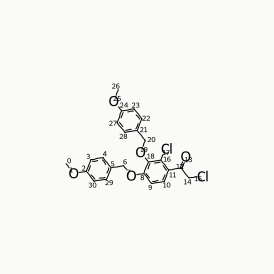 COc1ccc(COc2ccc(C(=O)CCl)c(Cl)c2OCc2ccc(OC)cc2)cc1